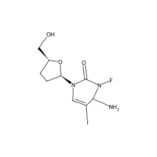 NC1C(I)=CN([C@H]2CC[C@@H](CO)O2)C(=O)N1F